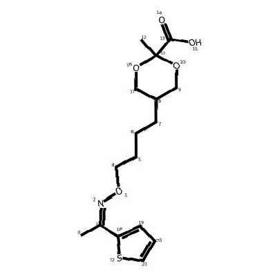 CC(=NOCCCCC1COC(C)(C(=O)O)OC1)c1cccs1